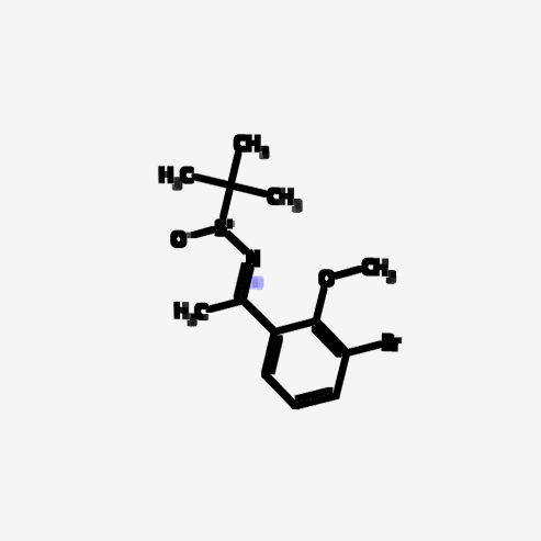 COc1c(Br)cccc1/C(C)=N/[S+]([O-])C(C)(C)C